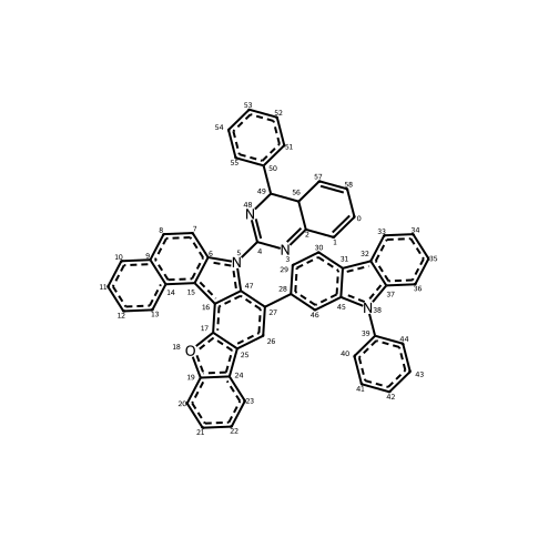 C1=CC2=NC(n3c4ccc5ccccc5c4c4c5oc6ccccc6c5cc(-c5ccc6c7ccccc7n(-c7ccccc7)c6c5)c43)=NC(c3ccccc3)C2C=C1